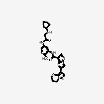 Cc1ncc(NC(=O)CNC2CCCC2)cc1NC(=O)c1cnn2cc(-c3cnn4c3OCCC4)sc12